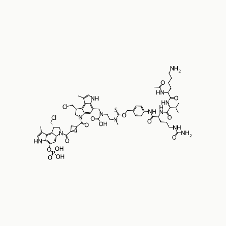 CC(=O)N[C@@H](CCCCN)C(=O)N[C@H](C(=O)N[C@@H](CCCNC(N)=O)C(=O)Nc1ccc(COC(=S)N(C)CCN(Cc2cc3c(c4c(C)c[nH]c24)[C@H](CCl)CN3C(=O)C23CC(C(=O)N4C[C@@H](CCl)c5c4cc(OP(=O)(O)O)c4[nH]cc(C)c54)(C2)C3)C(=O)O)cc1)C(C)C